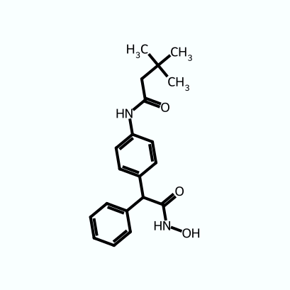 CC(C)(C)CC(=O)Nc1ccc(C(C(=O)NO)c2ccccc2)cc1